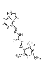 Cc1cc(N)cc(C)c1OCC(=O)NN=Cc1cccc2[nH]ccc12